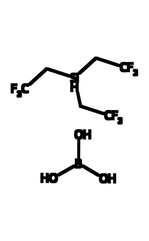 FC(F)(F)C[SiH](CC(F)(F)F)CC(F)(F)F.OB(O)O